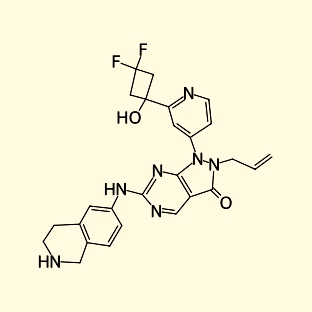 C=CCn1c(=O)c2cnc(Nc3ccc4c(c3)CCNC4)nc2n1-c1ccnc(C2(O)CC(F)(F)C2)c1